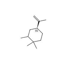 C=C(C)[C@H]1CCC(C)(C)C(C)C1